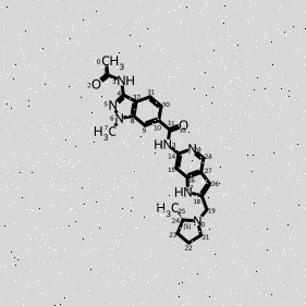 CC(=O)Nc1nn(C)c2cc(C(=O)Nc3cc4[nH]c(CN5CCC[C@@H]5C)cc4cn3)ccc12